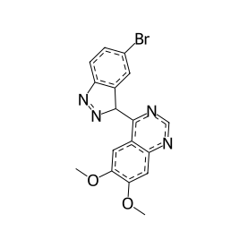 COc1cc2ncnc(C3N=Nc4ccc(Br)cc43)c2cc1OC